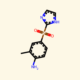 Cc1cc(S(=O)(=O)c2ncc[nH]2)ccc1N